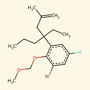 C=C(C)CC(CC)(CCC)c1cc(F)cc(Br)c1OCOC